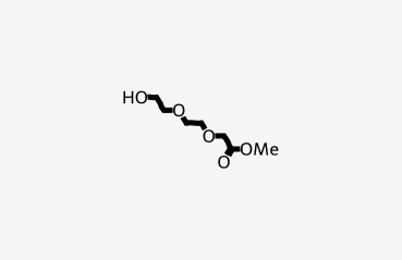 COC(=O)COCCOCCO